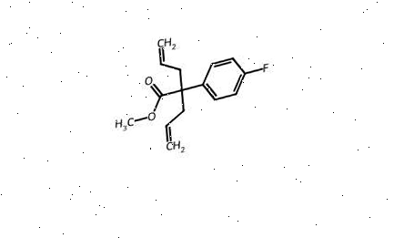 C=CCC(CC=C)(C(=O)OC)c1ccc(F)cc1